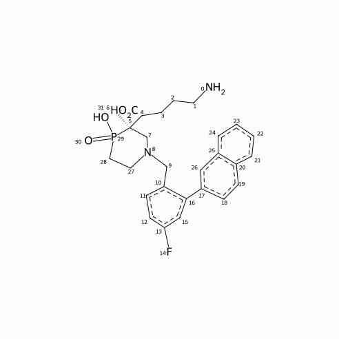 NCCCC[C@@]1(C(=O)O)CN(Cc2ccc(F)cc2-c2ccc3ccccc3c2)CCP1(=O)O